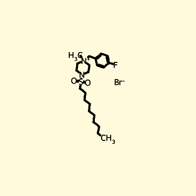 CCCCCCCCCCS(=O)(=O)N1CC[N+](C)(Cc2ccc(F)cc2)CC1.[Br-]